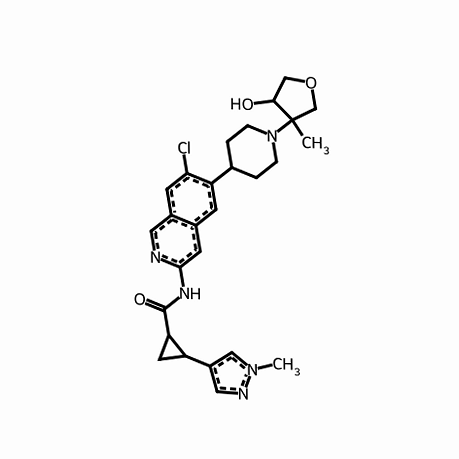 Cn1cc(C2CC2C(=O)Nc2cc3cc(C4CCN(C5(C)COCC5O)CC4)c(Cl)cc3cn2)cn1